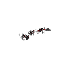 CCCCOCC(=O)NCc1cnc(N2CCN(C(=O)CCOCCN3CCN(c4ncc(C(=O)NCCCCn5nc(-c6ccc7oc(N)nc7c6)c6c(N)ncnc65)cn4)CC3)CC2)nc1